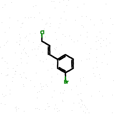 ClCC=Cc1cccc(Br)c1